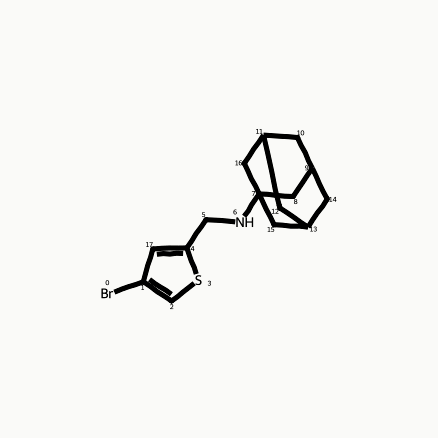 Brc1csc(CNC23CC4CC(CC(C4)C2)C3)c1